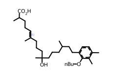 CCCCOc1c(CCC(C)CCCC(C)(O)CCC/C(C)=C/CCC(C)C(=O)O)ccc(C)c1C